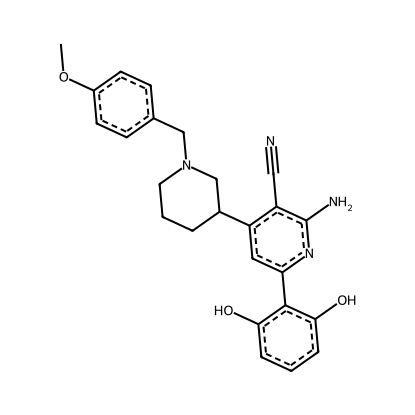 COc1ccc(CN2CCCC(c3cc(-c4c(O)cccc4O)nc(N)c3C#N)C2)cc1